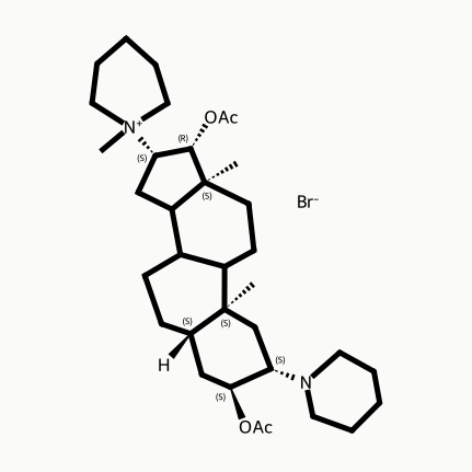 CC(=O)O[C@H]1C[C@@H]2CCC3C4C[C@H]([N+]5(C)CCCCC5)[C@H](OC(C)=O)[C@@]4(C)CCC3[C@@]2(C)C[C@@H]1N1CCCCC1.[Br-]